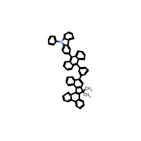 CC1(C)c2cc(-c3cccc(-c4c5ccccc5c(-c5ccc6c(c5)c5ccccc5n6-c5ccccc5)c5ccccc45)c3)c3ccccc3c2-c2c1c1ccccc1c1ccccc21